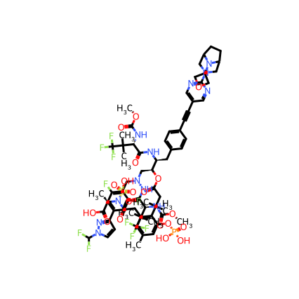 COC(=O)N[C@H](C(=O)N[C@@H](Cc1ccc(C#Cc2cnc(N3CC4CCC(C3)N4C3COC3)nc2)cc1)[C@H](CN(Cc1c(F)cc(-c2ccn(C(F)F)n2)cc1F)NC(=O)[C@@H](NC(=O)OC)C(C)(C)C(F)(F)F)OC(=O)CC(C)(C)c1c(CC(=O)N([C@H](C)C(=O)O)S(=O)(=O)O)cc(C)cc1OP(=O)(O)O)C(C)(C)C(F)(F)F